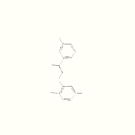 O=[N+]([O-])c1ccc(I)c(OCC(O)c2cccc(F)c2)c1